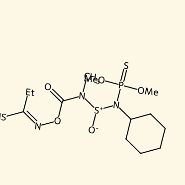 CC/C(S)=N\OC(=O)N(C)[S+]([O-])N(C1CCCCC1)P(=S)(OC)OC